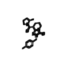 Cc1ccc(Cn2nc3n(c2=O)CCCC3C(=O)N2CCC[C@H]2C)cc1